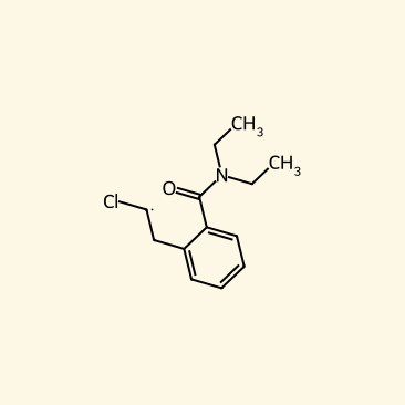 CCN(CC)C(=O)c1ccccc1C[CH]Cl